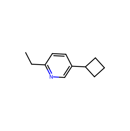 CCc1ccc(C2CCC2)cn1